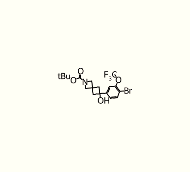 CC(C)(C)OC(=O)N1CC2(C1)CC(O)(c1ccc(Br)c(OC(F)(F)F)c1)C2